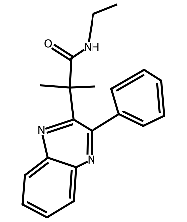 CCNC(=O)C(C)(C)c1nc2ccccc2nc1-c1ccccc1